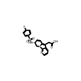 O=C(O)Cc1c2n(c3ncccc13)C[C@H](NS(=O)(=O)c1ccc(F)cc1)C=C2